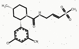 C[C@@H]1CCN(C(=O)NC/C=C/S(C)(=O)=O)[C@H](c2cc(Cl)cc(C#N)c2)C1